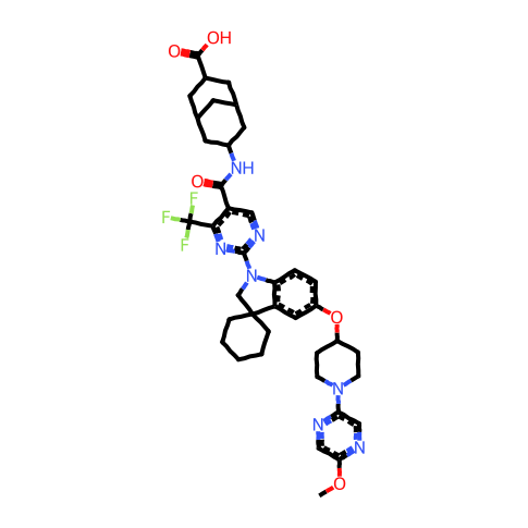 COc1cnc(N2CCC(Oc3ccc4c(c3)C3(CCCCC3)CN4c3ncc(C(=O)NC4CC5CC(C4)CC(C(=O)O)C5)c(C(F)(F)F)n3)CC2)cn1